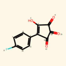 O=c1c(O)c(-c2ccc(F)cc2)c(=O)c1=O